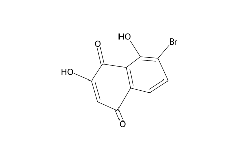 O=C1C=C(O)C(=O)c2c1ccc(Br)c2O